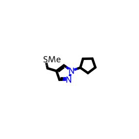 CSCc1cnn(C2CCCC2)c1